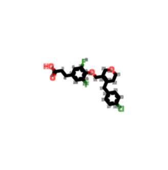 O=C(O)CCc1cc(F)c(OCC2=C(Cc3ccc(Cl)cc3)CCOC2)c(F)c1